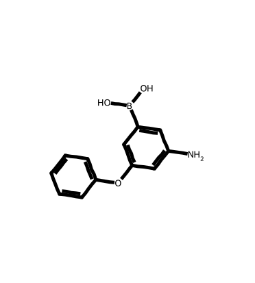 Nc1cc(Oc2ccccc2)cc(B(O)O)c1